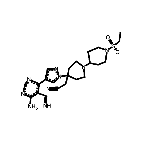 CCS(=O)(=O)N1CCC(N2CCC(CC#N)(n3cc(-c4ncnc(N)c4C=N)cn3)CC2)CC1